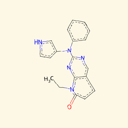 CCn1c(=O)ccc2cnc(N(c3ccccc3)c3cc[nH]c3)nc21